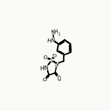 NNc1cccc(CN2C(=O)C(=O)NS2(=O)=O)c1